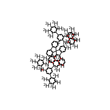 [2H]c1c([2H])c([2H])c(-c2cc(F)c(N(c3ccc4c(c3)C3(c5ccccc5-c5ccccc53)c3c-4c4ccccc4c4cc(N(c5c(F)cc(-c6c([2H])c([2H])c([2H])c([2H])c6[2H])cc5-c5c([2H])c([2H])c([2H])c([2H])c5[2H])c5c([2H])c([2H])c([2H])c([2H])c5[2H])ccc34)c3c([2H])c([2H])c([2H])c([2H])c3[2H])c(-c3c([2H])c([2H])c([2H])c([2H])c3[2H])c2)c([2H])c1[2H]